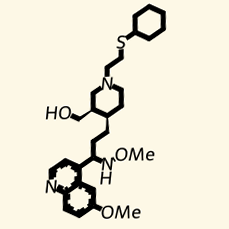 CONC(CC[C@@H]1CCN(CCSC2CCCCC2)C[C@@H]1CO)c1ccnc2ccc(OC)cc12